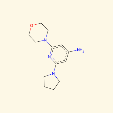 Nc1cc(N2CCCC2)nc(N2CCOCC2)c1